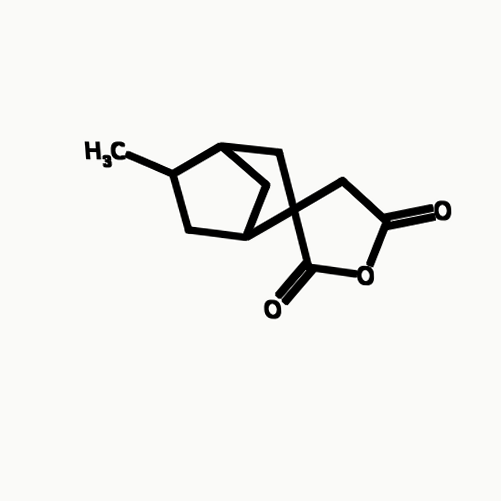 CC1CC2CC1CC21CC(=O)OC1=O